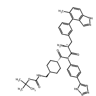 Cc1ccc2[nH]ncc2c1-c1cccc(C[C@H](N)C(=O)N(c2ccc(-c3nnn[nH]3)cc2)C(=O)[C@H]2CC[C@H](CNC(=O)OC(C)(C)C)CC2)c1